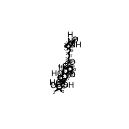 CC1=C(C)C(=O)OC(C(C)(O)[C@]2(O)CC[C@@]3(O)C4C[C@H]5O[C@]56[C@H](OC(=O)CCCCC5SCC7NC(=O)NC75)C=CC(=O)[C@]6(C)C4CC[C@@]32C)C1